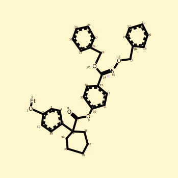 CCOc1ccc(C2(C(=O)Oc3ccc(/C(=N/OCc4ccccc4)OCc4ccccc4)cc3)CCCCC2)cc1